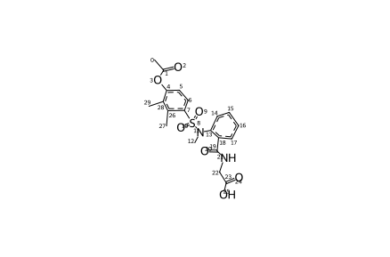 CC(=O)Oc1ccc(S(=O)(=O)N(C)c2ccccc2C(=O)NCC(=O)O)c(C)c1C